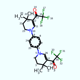 CC1(C)CCN(c2ccc(N3C=C(C(=O)C(F)(F)F)C(C)(C)CC3)cc2)C=C1C(=O)C(F)(F)F